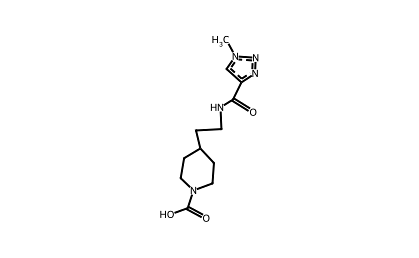 Cn1cc(C(=O)NCCC2CCN(C(=O)O)CC2)nn1